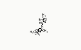 Cc1cc(CC(C)(C)C)ccc1OCCNc1ncnc(C)c1Br